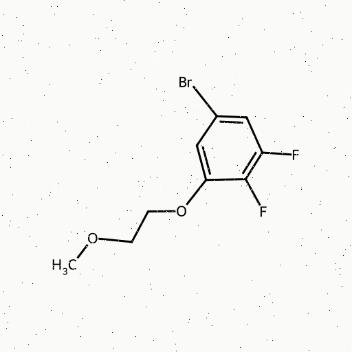 COCCOc1cc(Br)cc(F)c1F